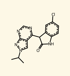 CC(C)n1cc2c(C3C(=O)Nc4ccc(Cl)cc43)ncnc2n1